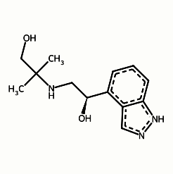 CC(C)(CO)NC[C@H](O)c1cccc2[nH]ncc12